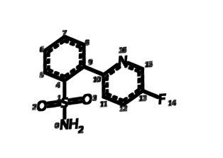 NS(=O)(=O)c1ccccc1-c1ccc(F)cn1